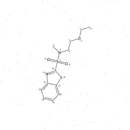 CCOCCN(C)S(=O)(=O)c1nc2ccccc2s1